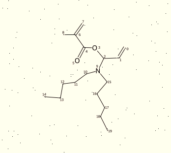 C=CC(OC(=O)C(=C)C)N(CCCCC)CCCCC